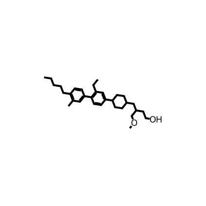 CCCCCc1ccc(-c2ccc(C3CCC(CC(CCO)COC)CC3)cc2CC)cc1C